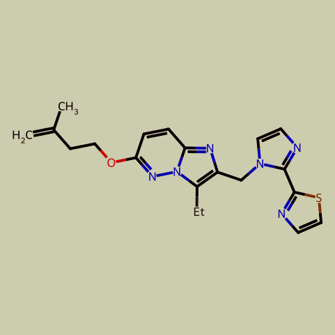 C=C(C)CCOc1ccc2nc(Cn3ccnc3-c3nccs3)c(CC)n2n1